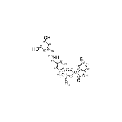 CC1(C)OC(=C2C(=O)Nc3ccc(F)cc32)C=C1c1ccc(CNCCN(CCO)CCO)cc1